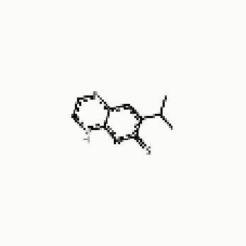 CC(C)c1cc2ncc[nH]c-2nc1=S